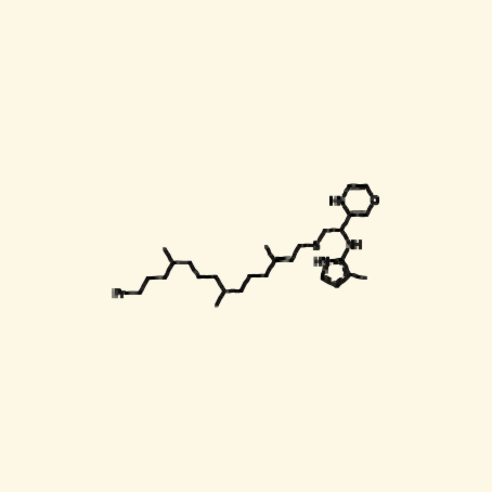 C/C(=C\CSCC(Nc1[nH]ccc1C)C1=COC=CN1)CCCC(C)CCCC(C)CCCC(C)C